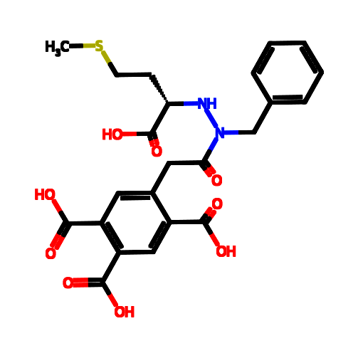 CSCC[C@H](NN(Cc1ccccc1)C(=O)Cc1cc(C(=O)O)c(C(=O)O)cc1C(=O)O)C(=O)O